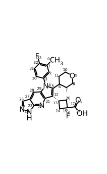 Cc1cc(-n2c(C3CCOCC3)c([C@H]3C[C@](F)(C(=O)O)C3)c3nc4[nH]ncc4cc32)ccc1F